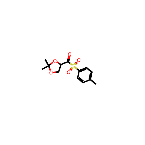 Cc1ccc(S(=O)(=O)C(=O)C2COC(C)(C)O2)cc1